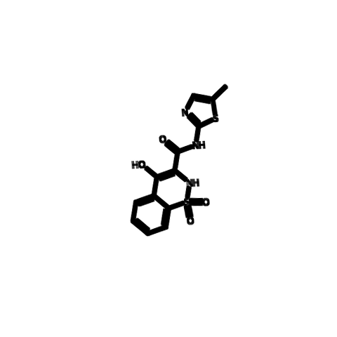 Cc1cnc(NC(=O)C2=C(O)c3ccccc3S(=O)(=O)N2)s1